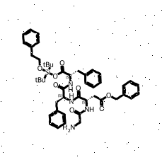 CC(C)(C)[Si](OCCc1ccccc1)(OC(=O)[C@H](Cc1ccccc1)NC(=O)[C@H](Cc1ccccc1)NC(=O)[C@H](CC(=O)OCc1ccccc1)NC(=O)CN)C(C)(C)C